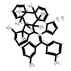 CC1=CC=CC2[CH]([Zr+2]([C]3=CC=CC3)=[C](c3cccc(C(Cl)(Cl)Cl)c3)c3cccc(C(Cl)(Cl)Cl)c3)C3(C)C4(C)C=CC=CC4(C)C4(C)C=CC=CC4(C)C3(C)C12C.[Cl-].[Cl-]